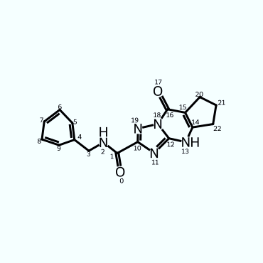 O=C(NCc1ccccc1)c1nc2[nH]c3c(c(=O)n2n1)CCC3